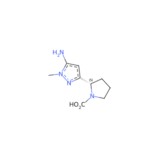 Cn1nc([C@@H]2CCCN2C(=O)O)cc1N